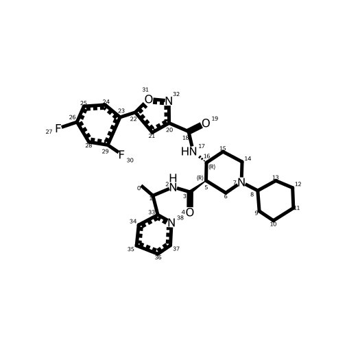 CC(NC(=O)[C@@H]1CN(C2CCCCC2)CC[C@H]1NC(=O)c1cc(-c2ccc(F)cc2F)on1)c1ccccn1